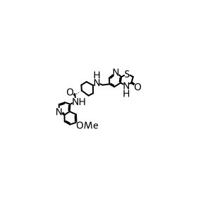 COc1ccc2nccc(NC(=O)[C@H]3CC[C@H](NCc4cnc5c(c4)NC(=O)CS5)CC3)c2c1